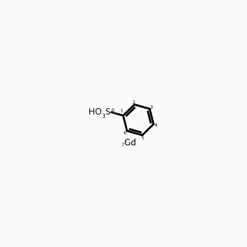 O=S(=O)(O)c1ccccc1.[Gd]